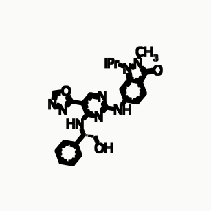 CC(C)n1c2cc(Nc3ncc(-c4nnco4)c(N[C@H](CO)c4ccccc4)n3)ccc2c(=O)n1C